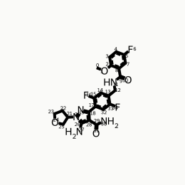 COc1ccc(F)cc1C(=O)NCc1cc(F)c(-c2nn(C3CCOC3)c(N)c2C(N)=O)cc1F